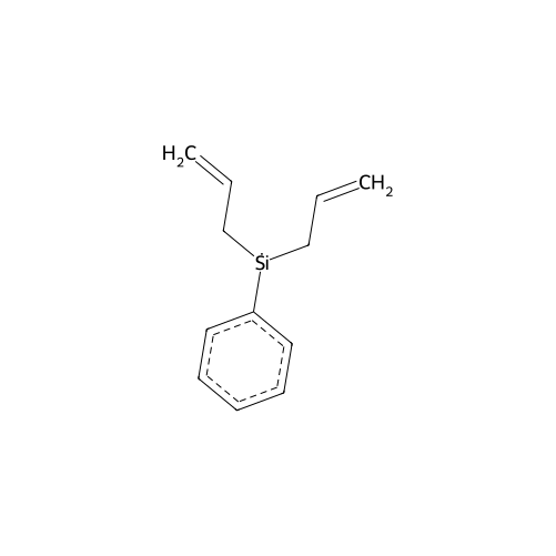 C=CC[Si](CC=C)c1ccccc1